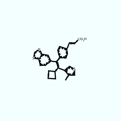 Cc1cscc1C(=C(c1ccc(C=CC(=O)O)cc1)c1ccc2scnc2c1)C1CCC1